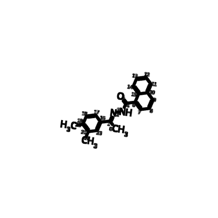 C/C(=N\NC(=O)c1cccc2ccccc12)c1ccc(C)c(C)c1